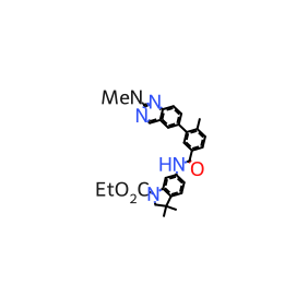 CCOC(=O)N1CC(C)(C)c2ccc(NC(=O)c3ccc(C)c(-c4ccc5nc(NC)ncc5c4)c3)cc21